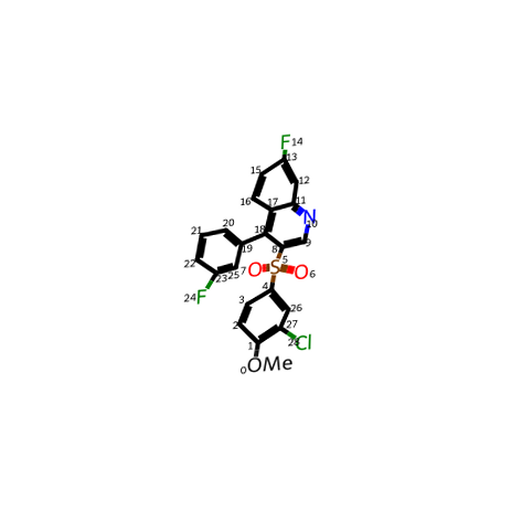 COc1ccc(S(=O)(=O)c2cnc3cc(F)ccc3c2-c2cccc(F)c2)cc1Cl